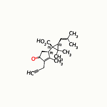 C#CCC1=C(C)[C@H]([C@]2(C(=O)O)[C@@H](C=C(C)C)C2(C)C)CC1=O